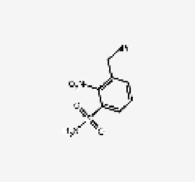 CC(C)Cc1cccc(S(N)(=O)=O)c1[N+](=O)[O-]